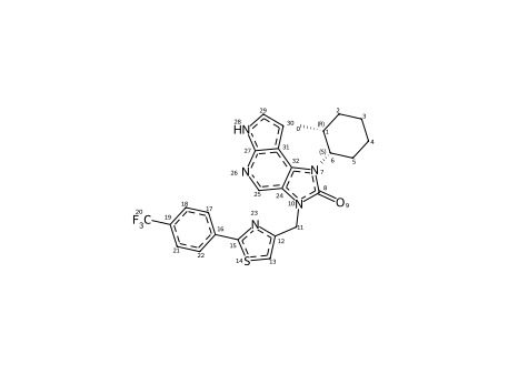 C[C@@H]1CCCC[C@@H]1n1c(=O)n(Cc2csc(-c3ccc(C(F)(F)F)cc3)n2)c2cnc3[nH]ccc3c21